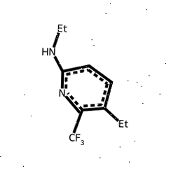 CCNc1ccc(CC)c(C(F)(F)F)n1